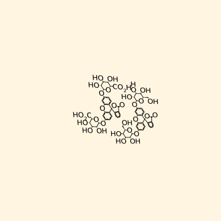 O=C1OC2(c3ccc(OC4O[C@H](C(=O)O)[C@@H](O)[C@H](O)[C@H]4O)cc3Oc3cc(OC4O[C@H](C(=O)O)[C@@H](O)[C@H](O)[C@H]4O)ccc32)c2ccccc21.O=C1OC2(c3ccc(OC4O[C@H](CO)[C@H](O)[C@H](O)[C@H]4O)cc3Oc3cc(OC4O[C@H](CO)[C@H](O)[C@H](O)[C@H]4O)ccc32)c2ccccc21